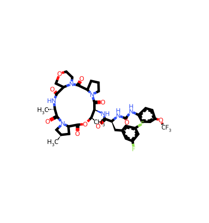 C[C@H]1CC2C(=O)O[C@@H](C)[C@H](NC(=O)[C@H](Cc3cc(F)cc(F)c3)NC(=O)Nc3ccc(OC(F)(F)F)cc3)C(=O)N3CCCC3C(=O)N3CCOCC3C(=O)N[C@@H](C)C(=O)N2C1